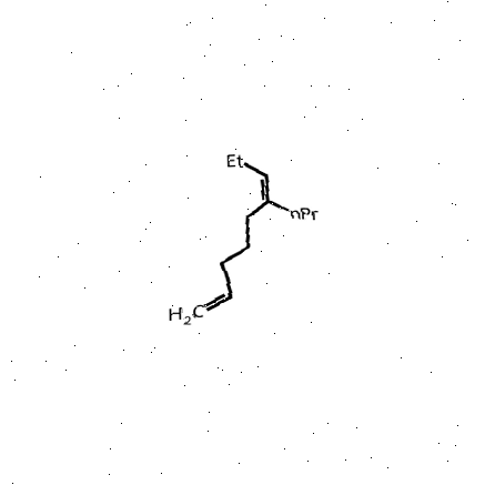 C=CCCCC(=CCC)CCC